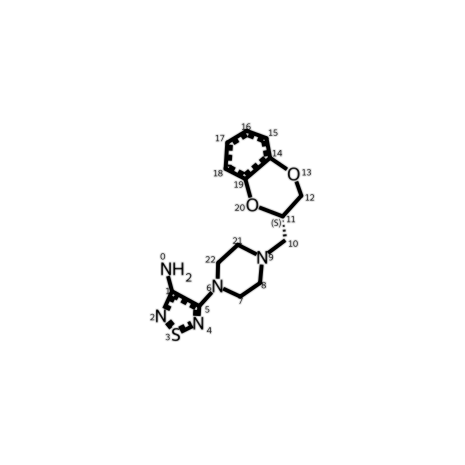 Nc1nsnc1N1CCN(C[C@H]2COc3ccccc3O2)CC1